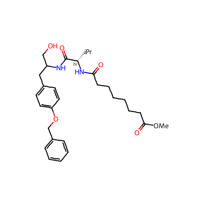 COC(=O)CCCCCCC(=O)N[C@H](C(=O)NC(CO)Cc1ccc(OCc2ccccc2)cc1)C(C)C